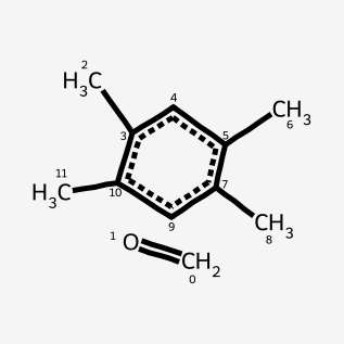 C=O.Cc1cc(C)c(C)cc1C